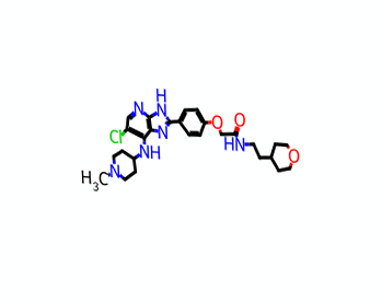 CN1CCC(Nc2c(Cl)cnc3[nH]c(-c4ccc(OCC(=O)NCCC5CCOCC5)cc4)nc23)CC1